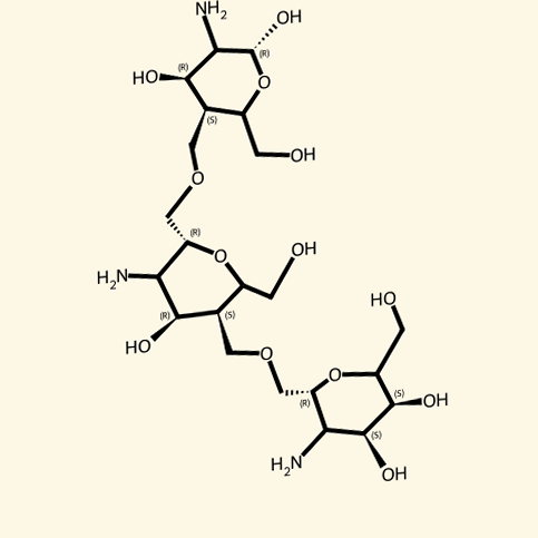 NC1[C@H](COC[C@@H]2C(CO)O[C@@H](COC[C@@H]3C(CO)O[C@@H](O)C(N)[C@@H]3O)C(N)[C@@H]2O)OC(CO)[C@@H](O)[C@H]1O